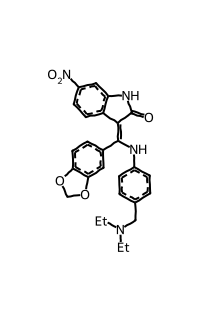 CCN(CC)Cc1ccc(N/C(=C2\C(=O)Nc3cc([N+](=O)[O-])ccc32)c2ccc3c(c2)OCO3)cc1